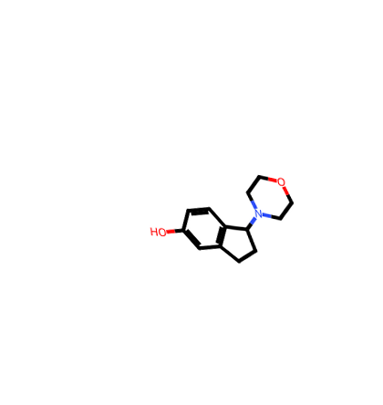 Oc1ccc2c(c1)CCC2N1CCOCC1